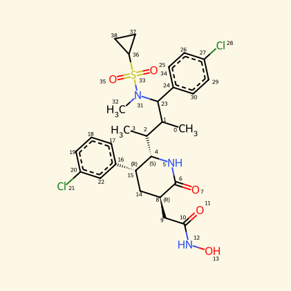 CC(C(C)[C@@H]1NC(=O)[C@@H](CC(=O)NO)C[C@@H]1c1cccc(Cl)c1)C(c1ccc(Cl)cc1)N(C)S(=O)(=O)C1CC1